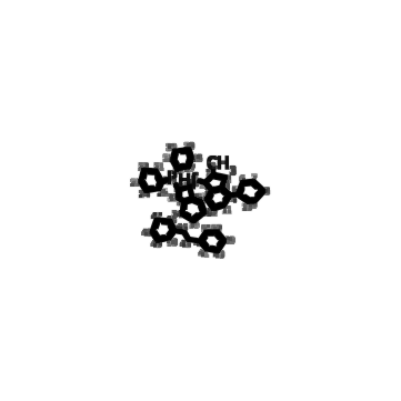 CC1=Cc2c(-c3ccccc3)cccc2[CH]1[Hf][CH]1C(P(c2ccccc2)c2ccccc2)=Cc2ccccc21.c1ccc(CCc2ccccc2)cc1